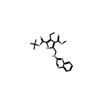 CCc1c(C(=O)OC(C)(C)C)[nH]c(CNc2cnc3ccccc3n2)c1C(=O)OC